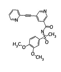 COc1ccc(S(C)(=O)=NC(=O)c2cncc(C#Cc3ccccn3)c2)cc1OC